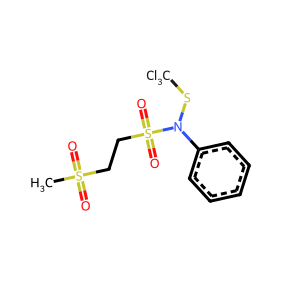 CS(=O)(=O)CCS(=O)(=O)N(SC(Cl)(Cl)Cl)c1ccccc1